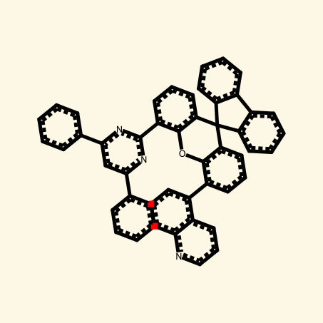 c1ccc(-c2cc(-c3ccccc3)nc(-c3cccc4c3Oc3c(-c5cccc6ncccc56)cccc3C43c4ccccc4-c4ccccc43)n2)cc1